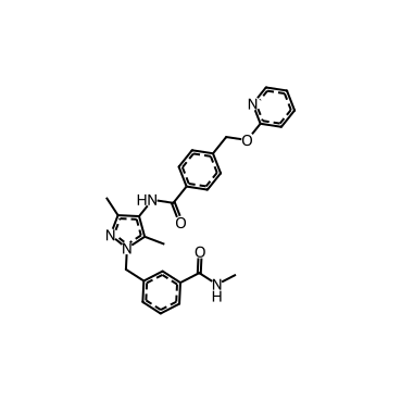 CNC(=O)c1cccc(Cn2nc(C)c(NC(=O)c3ccc(COc4ccccn4)cc3)c2C)c1